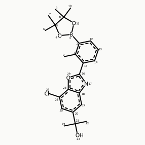 Cc1c(B2OC(C)(C)C(C)(C)O2)cccc1-c1nc2cc(C(C)(C)O)cc(Cl)c2o1